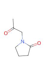 CC(=O)CN1CCCC1=O